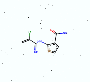 C=C(Cl)C(=N)Nc1sccc1C(N)=O